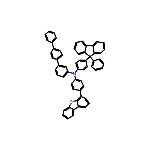 c1ccc(-c2ccc(-c3cccc(N(c4ccc(-c5cccc6c5sc5ccccc56)cc4)c4ccc(C5(c6ccccc6)c6ccccc6-c6ccccc65)cc4)c3)cc2)cc1